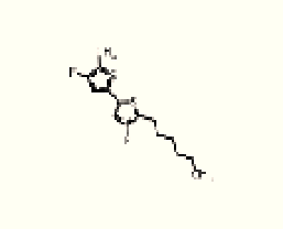 CCCCCCc1sc(-c2cc(F)c(C)s2)cc1F